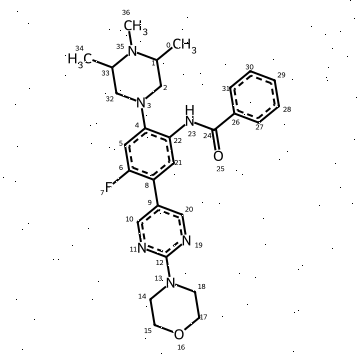 CC1CN(c2cc(F)c(-c3cnc(N4CCOCC4)nc3)cc2NC(=O)c2ccccc2)CC(C)N1C